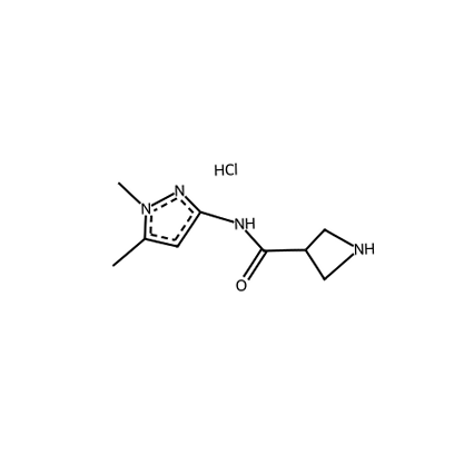 Cc1cc(NC(=O)C2CNC2)nn1C.Cl